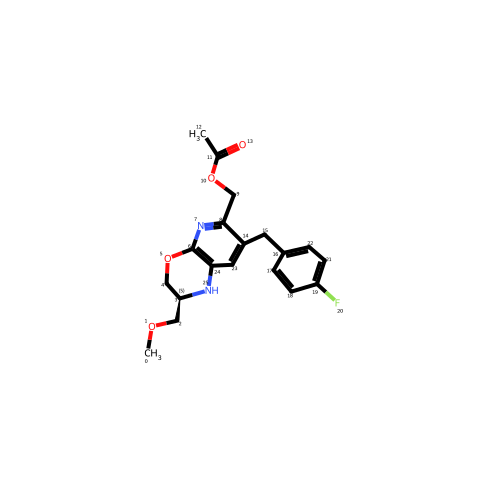 COC[C@H]1COc2nc(COC(C)=O)c(Cc3ccc(F)cc3)cc2N1